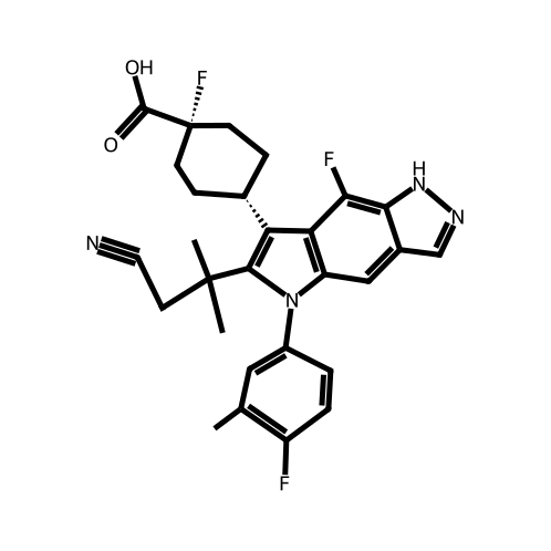 Cc1cc(-n2c(C(C)(C)CC#N)c([C@H]3CC[C@](F)(C(=O)O)CC3)c3c(F)c4[nH]ncc4cc32)ccc1F